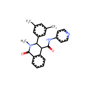 CN1C(=O)c2ccccc2C(C(=O)Nc2ccncc2)C1c1cc(C(F)(F)F)cc(C(F)(F)F)c1